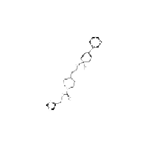 O=C(OCc1cscn1)N1CCC(CCOC2(F)C=CC(c3ccccc3)=CC2)CC1